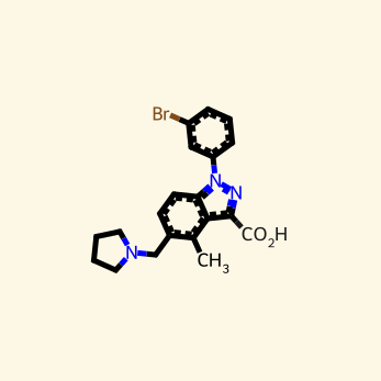 Cc1c(CN2CCCC2)ccc2c1c(C(=O)O)nn2-c1cccc(Br)c1